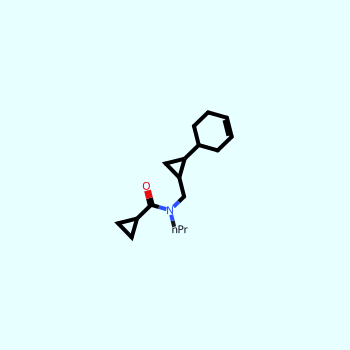 CCCN(CC1CC1C1CC=CCC1)C(=O)C1CC1